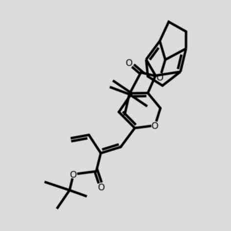 C=C/C(=C\C1=CC(C)=C(C2C3=C4CCC(=C2CC3)C4OC(=O)C(C)(C)C)CO1)C(=O)OC(C)(C)C